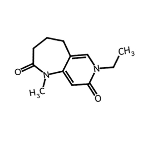 CCn1cc2c(cc1=O)N(C)C(=O)CCC2